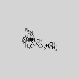 CCN(CC)CC1(c2ccc(-c3cc(C)c4cn(C(C(=O)Nc5nccs5)c5ncn6c5C[C@@H](F)C6)nc4c3C)cc2)CC1